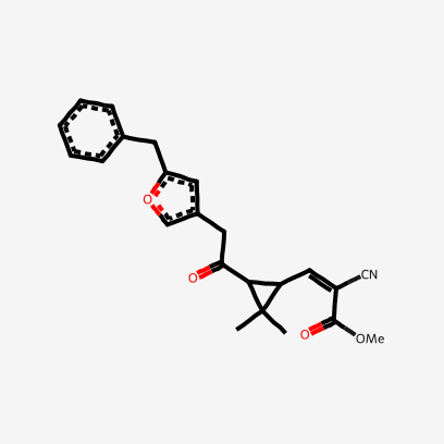 COC(=O)C(C#N)=CC1C(C(=O)Cc2coc(Cc3ccccc3)c2)C1(C)C